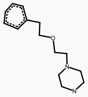 c1ccc(CCOCCN2CC[N]CC2)cc1